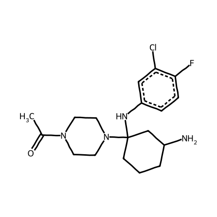 CC(=O)N1CCN(C2(Nc3ccc(F)c(Cl)c3)CCCC(N)C2)CC1